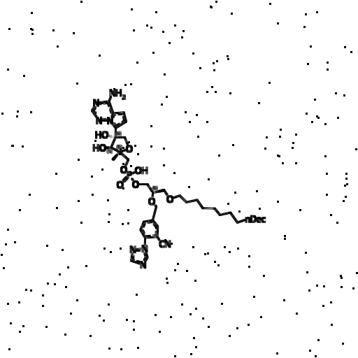 CCCCCCCCCCCCCCCCCCOC[C@H](COP(=O)(O)OC[C@@]1(C)OC[C@](O)(c2ccc3c(N)ncnn23)[C@@H]1O)OCc1ccc(-n2cncn2)c(C#N)c1